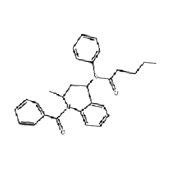 CCCCC(=O)N(c1ccccc1)C1CC(C)N(C(=O)c2ccccc2)c2ccccc21